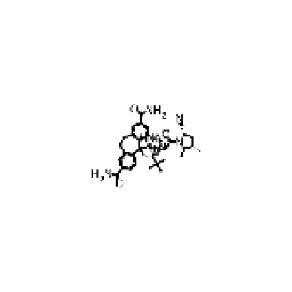 CC1[C@@H](C)C[C@@H](C#N)N1C(=O)CN[C@@H](CC1(c2nnn[nH]2)c2ccc(C(N)=O)cc2CCc2cc(C(N)=O)ccc21)C(C)(C)C